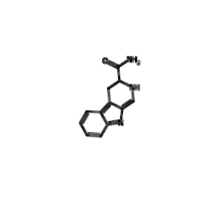 NC(=O)C1CC2=c3ccccc3=NC2=CN1